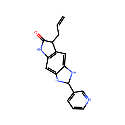 C=CCC1C(=O)Nc2cc3c(cc21)NC(c1cccnc1)N3